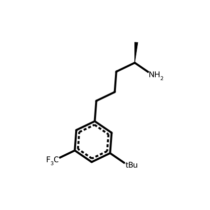 C[C@@H](N)CCCc1cc(C(C)(C)C)cc(C(F)(F)F)c1